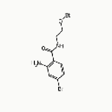 CCOCCNC(=O)c1ccc(Br)cc1N